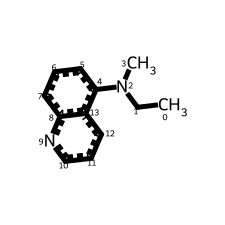 CCN(C)c1cccc2ncccc12